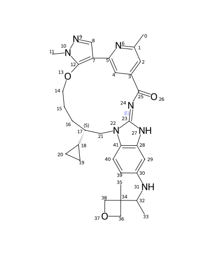 Cc1cc2cc(n1)-c1cnn(C)c1OCCC[C@@H](C1CC1)CN1/C(=N/C2=O)Nc2cc(NC(C)C3(C)COC3)ccc21